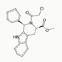 COC(=O)[C@H]1Cc2c([nH]c3ccccc23)[C@@H](c2ccccc2)N1C(=O)CCl